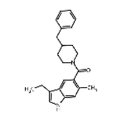 CCc1c[nH]c2cc(C)c(C(=O)N3CCC(Cc4ccccc4)CC3)cc12